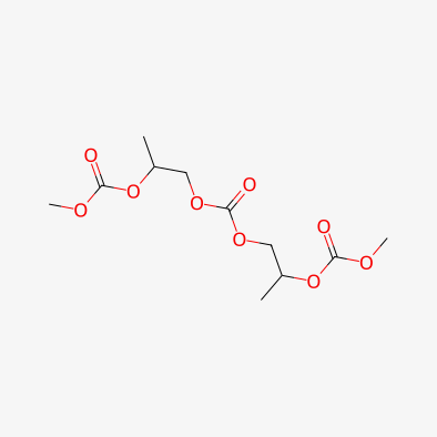 COC(=O)OC(C)COC(=O)OCC(C)OC(=O)OC